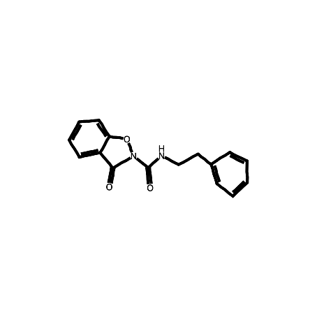 O=C(NCCc1ccccc1)n1oc2ccccc2c1=O